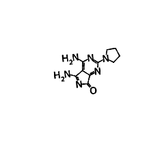 NC1=NC(=O)c2nc(N3CCCC3)nc(N)c21